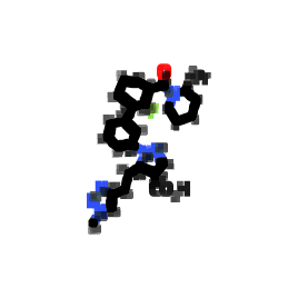 CCCC1CCCCN1C(=O)c1cccc(-c2cccc(-n3ncc(C(=O)O)c3CCc3cn(C)nn3)c2)c1F